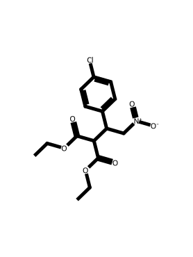 CCOC(=O)C(C(=O)OCC)C(C[N+](=O)[O-])c1ccc(Cl)cc1